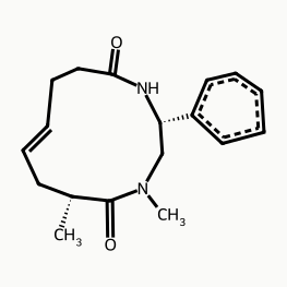 C[C@@H]1C/C=C/CCC(=O)N[C@H](c2ccccc2)CN(C)C1=O